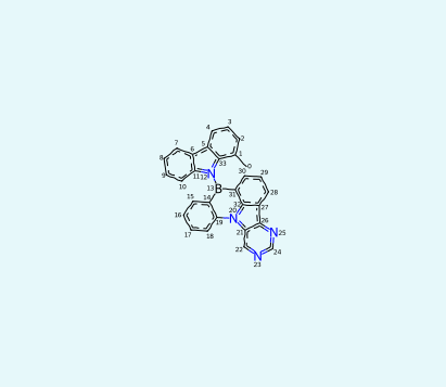 Cc1cccc2c3ccccc3n(B3c4ccccc4-n4c5cncnc5c5cccc3c54)c12